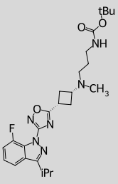 CC(C)c1nn(-c2noc([C@H]3C[C@@H](N(C)CCCNC(=O)OC(C)(C)C)C3)n2)c2c(F)cccc12